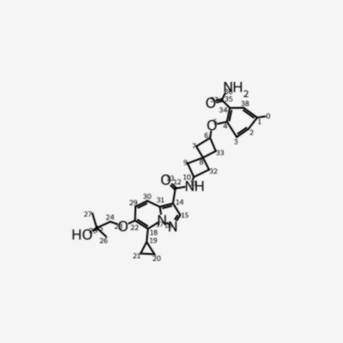 Cc1ccc(OC2CC3(CC(NC(=O)c4cnn5c(C6CC6)c(OCC(C)(C)O)ccc45)C3)C2)c(C(N)=O)c1